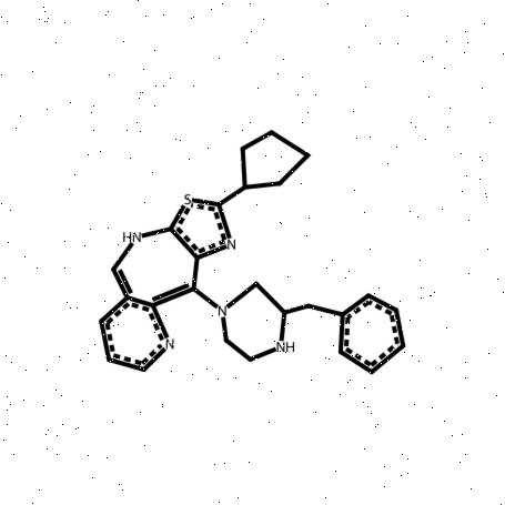 C1=c2cccnc2=C(N2CCNC(Cc3ccccc3)C2)c2nc(C3CCCC3)sc2N1